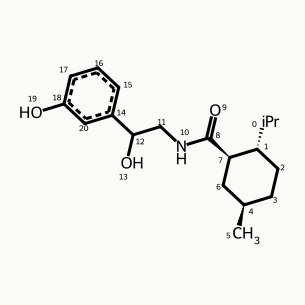 CC(C)[C@@H]1CC[C@@H](C)C[C@H]1C(=O)NCC(O)c1cccc(O)c1